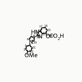 COc1ccc(-n2ccc(-c3nc4c(OC(=O)O)cccc4[nH]3)c2)cc1